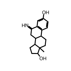 CC12CCC3c4ccc(O)cc4C(=N)CC3C1CCC2O